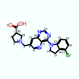 O=C(O)[C@@H]1CCN(Cc2cnc3c(N4CCc5c(Br)cccc54)ncnc3c2)C1